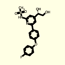 CS(=O)(=O)Nc1cc([C@H](O)CO)cc(-c2ccc(Oc3ccc(F)cc3)cc2)n1